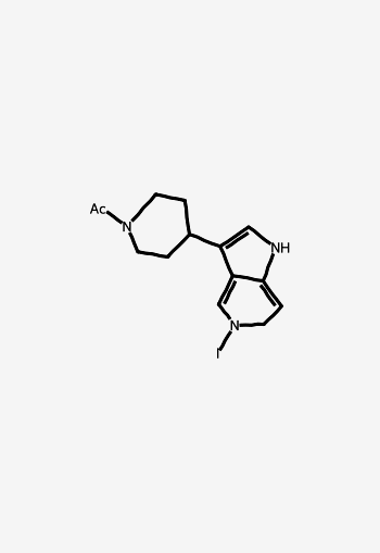 CC(=O)N1CCC(c2c[nH]c3c2=CN(I)CC=3)CC1